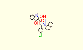 CN1c2ccccc2C(O)=C(C(=O)CC(Nc2cccc3ccccc23)c2ccc(Cl)cc2)C1O